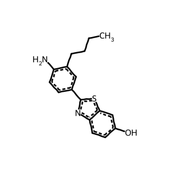 CCCCc1cc(-c2nc3ccc(O)cc3s2)ccc1N